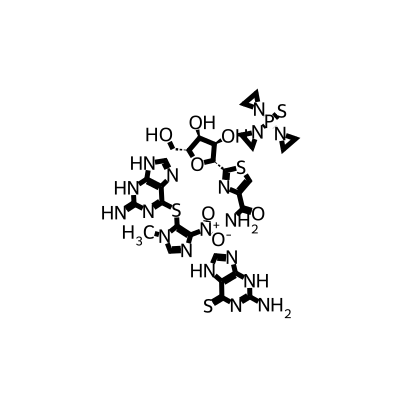 Cn1cnc([N+](=O)[O-])c1Sc1nc(=N)[nH]c2[nH]cnc12.NC(=O)c1csc([C@@H]2O[C@H](CO)[C@@H](O)[C@H]2O)n1.Nc1nc(=S)c2[nH]cnc2[nH]1.S=P(N1CC1)(N1CC1)N1CC1